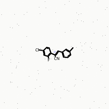 Cc1cccc(/C=C(\C#N)c2ccc(Cl)cc2F)c1